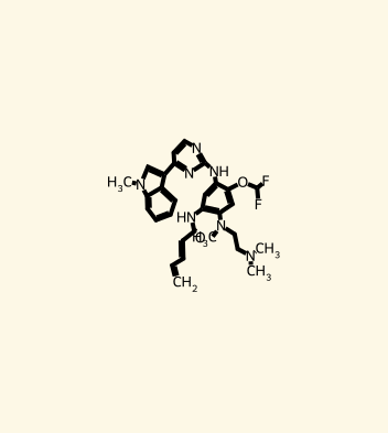 C=C/C=C/C(=O)Nc1cc(Nc2nccc(-c3cn(C)c4ccccc34)n2)c(OC(F)F)cc1N(C)CCN(C)C